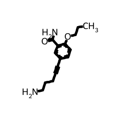 CCCOc1ccc(C#CCCCN)cc1C(N)=O